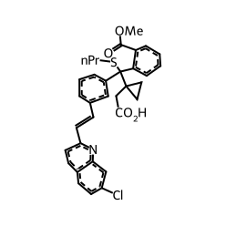 CCCSC(c1cccc(C=Cc2ccc3ccc(Cl)cc3n2)c1)(c1ccccc1C(=O)OC)C1(CC(=O)O)CC1